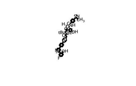 Cc1ncsc1-c1ccc(C(C)NC(=O)[C@@H]2C[C@@H](O)CN2C(=O)C(NC(=O)CN2CCN(c3ccc(-c4cnnc(-c5cc(F)ccc5O)c4)cc3)CC2)C(C)(C)C)cc1